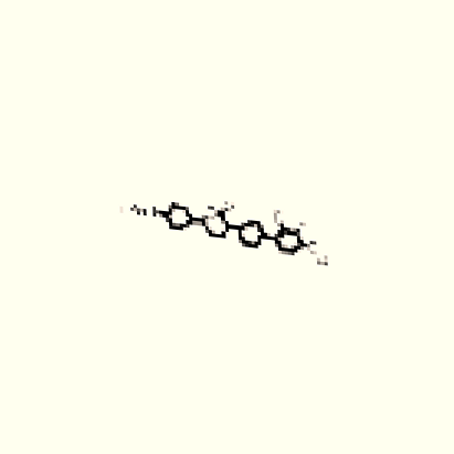 CCCCCC1CCC(C2CCC(C3CCC(c4ccc(OCC)c(F)c4F)CC3)C(=O)O2)CC1